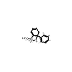 COC1=CC=C[CH]C1(OC)c1ccccc1